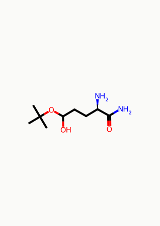 CC(C)(C)OC(O)CC[C@@H](N)C(N)=O